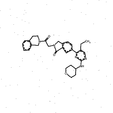 CCc1cnc(NC2CCOCC2)nc1-c1ccc2c(c1)C(=O)N(CC(=O)N1CCc3ccccc3C1)C2